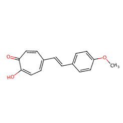 COc1ccc(C=Cc2ccc(O)c(=O)cc2)cc1